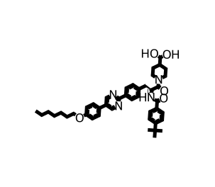 CCCCCCCOc1ccc(-c2cnc(-c3ccc(C[C@H](NC(=O)c4ccc(C(C)(C)C)cc4)C(=O)N4CCC(C(O)O)CC4)cc3)nc2)cc1